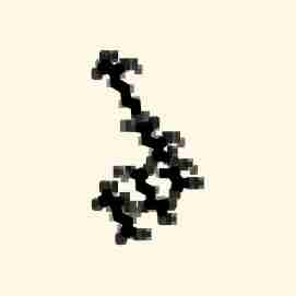 CC(N)C(=O)O.NC(=O)CCC(N)C(=O)O.NC(CC(=O)O)C(=O)O.NC(CCC(=O)O)C(=O)O.NCCCCC(N)C(=O)O